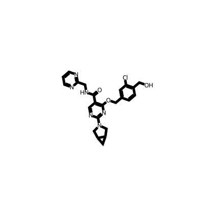 O=C(NCc1ncccn1)c1cnc(N2CC3CC3C2)nc1OCc1ccc(CO)c(Cl)c1